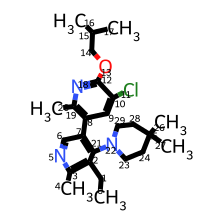 CCc1c(C)ncc(-c2cc(Cl)c(OCC(C)C)nc2C)c1N1CCC(C)(C)CC1